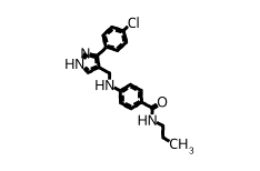 CCCNC(=O)c1ccc(NCc2c[nH]nc2-c2ccc(Cl)cc2)cc1